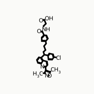 Cc1noc(C)c1-c1ccc2c(C(CCCCc3ccc(C(=O)NCCC(=O)O)cc3)c3ccc(Cl)cc3)cccc2n1